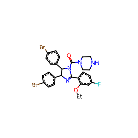 CCOc1cc(F)ccc1C1=NC(c2ccc(Br)cc2)C(c2ccc(Br)cc2)N1C(=O)N1CCNCC1